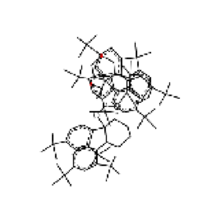 CC(C)(C)c1ccc(C2CCCCC2(OP(OC2(c3ccc(C(C)(C)C)cc3C(C)(C)C)CCCCC2c2ccc(C(C)(C)C)cc2C(C)(C)C)OC2(c3ccc(C(C)(C)C)cc3C(C)(C)C)CCCCC2c2ccc(C(C)(C)C)cc2C(C)(C)C)c2ccc(C(C)(C)C)cc2C(C)(C)C)c(C(C)(C)C)c1